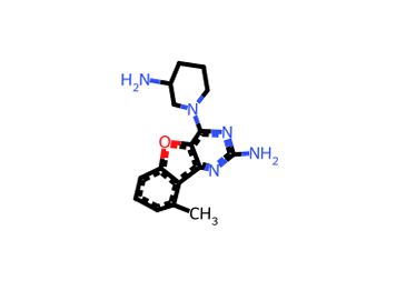 Cc1cccc2oc3c(N4CCCC(N)C4)nc(N)nc3c12